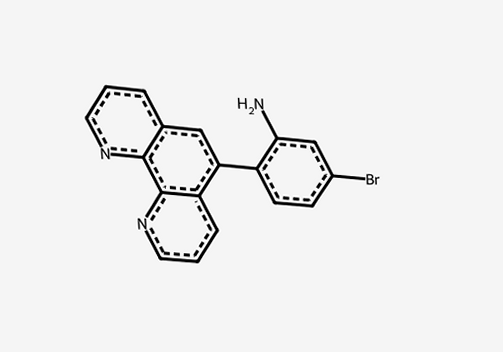 Nc1cc(Br)ccc1-c1cc2cccnc2c2ncccc12